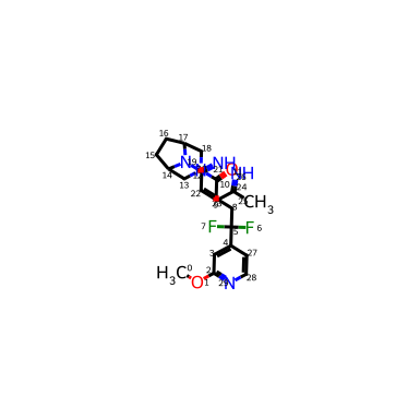 COc1cc(C(F)(F)CCC(=O)N2CC3CCC(C2)N3C(=N)/C=C\C(C)=N)ccn1